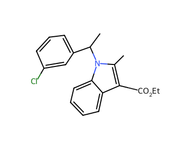 CCOC(=O)c1c(C)n(C(C)c2cccc(Cl)c2)c2ccccc12